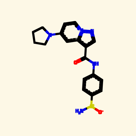 N[S+]([O-])c1ccc(NC(=O)c2cnn3ccc(N4CCCC4)cc23)cc1